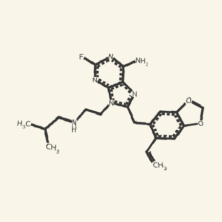 C=Cc1cc2c(cc1Cc1nc3c(N)nc(F)nc3n1CCNCC(C)C)OCO2